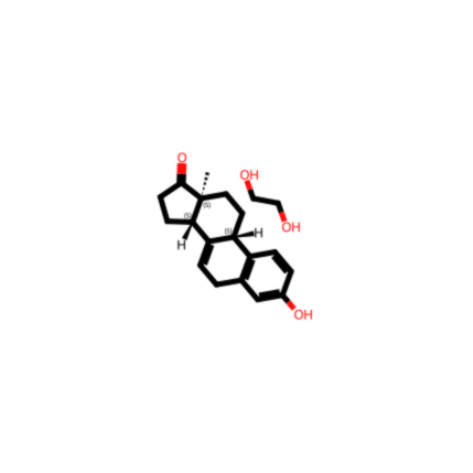 C[C@]12CC[C@H]3C(=CCc4cc(O)ccc43)[C@@H]1CCC2=O.OCCO